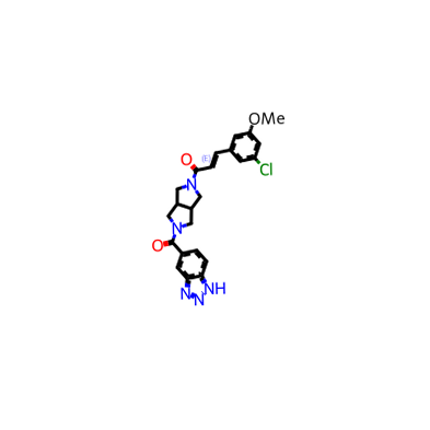 COc1cc(Cl)cc(/C=C/C(=O)N2CC3CN(C(=O)c4ccc5[nH]nnc5c4)CC3C2)c1